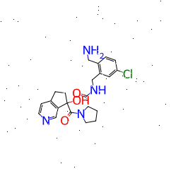 NCc1ccc(Cl)cc1CNC(=O)[C@@H]1CCCN1C(=O)C1(O)CCc2ccncc21